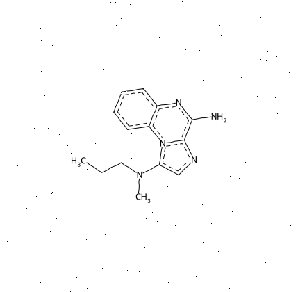 CCCN(C)c1cnc2c(N)nc3ccccc3n12